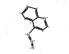 [N-]=[N+]=Nc1ccnc2ccccc12